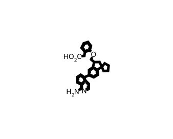 Nc1nccc2c(-c3ccc4c(c3)C(COc3ccccc3CC(=O)O)CC43CCCC3)cccc12